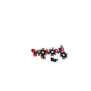 CON=C(COc1ccc(COc2ccc(CCC(=O)[O-])c(OC)c2)cc1)c1ccccc1.[Na+]